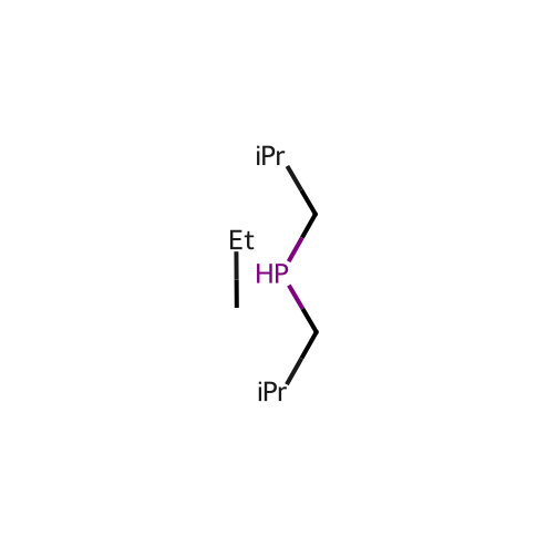 CC(C)CPCC(C)C.CCC